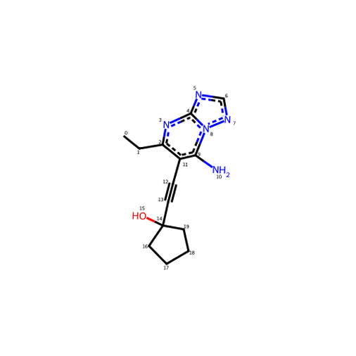 CCc1nc2ncnn2c(N)c1C#CC1(O)CCCC1